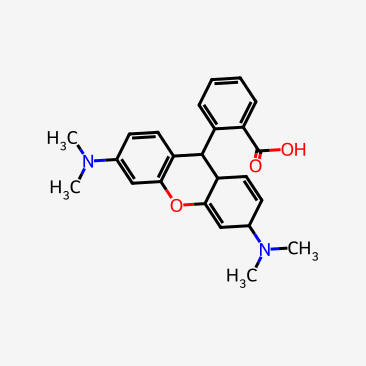 CN(C)c1ccc2c(c1)OC1=CC(N(C)C)C=CC1C2c1ccccc1C(=O)O